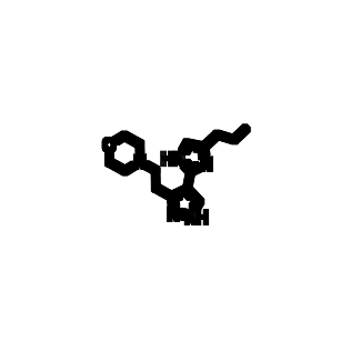 CCCc1c[nH]c(-c2c[nH]nc2CCN2CCOCC2)n1